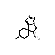 CN1CCC2(CC1)c1cnnn1C[C@H]2N